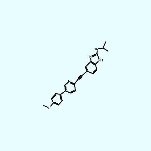 COc1ccc(-c2ccc(C#Cc3ccc4[nH]c(NC(C)C)nc4c3)nc2)cc1